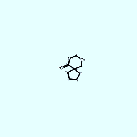 O=C1OCOCC12CCCC2